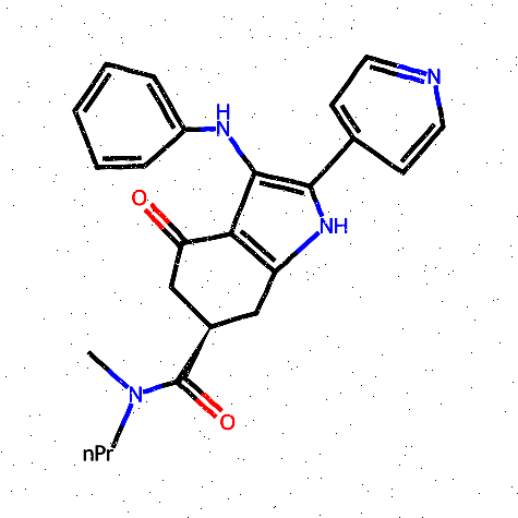 CCCN(C)C(=O)[C@H]1CC(=O)c2c([nH]c(-c3ccncc3)c2Nc2ccccc2)C1